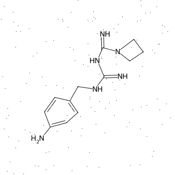 N=C(NCc1ccc(N)cc1)NC(=N)N1CCC1